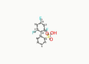 O=S(=O)(O)c1ccccc1-c1c(F)cc(F)cc1F